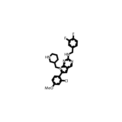 COc1ccc(-c2cc3cnc(NCc4ccc(F)c(F)c4)nc3n2CC2CCCNC2)c(Cl)c1